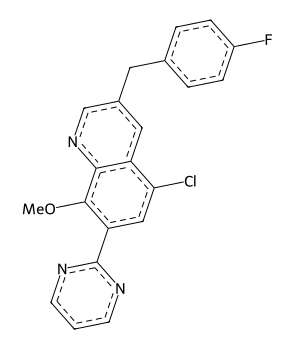 COc1c(-c2ncccn2)cc(Cl)c2cc(Cc3ccc(F)cc3)cnc12